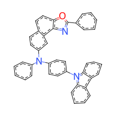 c1ccc(-c2nc3c(ccc4ccc(N(c5ccccc5)c5ccc(-n6c7ccccc7c7ccccc76)cc5)cc43)o2)cc1